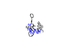 CC(C)(C)CC(C)(C)Nc1c(-c2ccc(C#Cc3ccccc3)nc2)nc2ccccn12